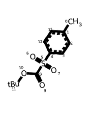 Cc1ccc(S(=O)(=O)C(=O)OC(C)(C)C)cc1